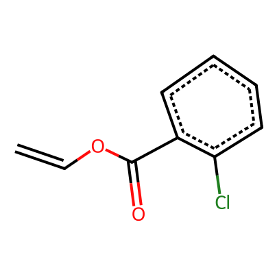 C=COC(=O)c1ccccc1Cl